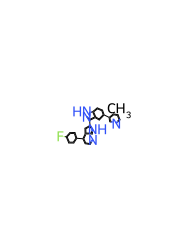 Cc1ccncc1-c1ccc2[nH]nc(-c3cc4c(-c5ccc(F)cc5)ccnc4[nH]3)c2c1